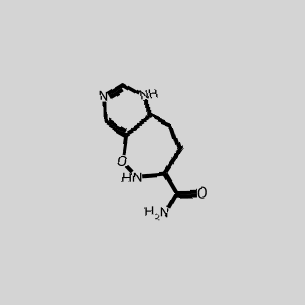 NC(=O)C1CCC2NC=NC=C2ON1